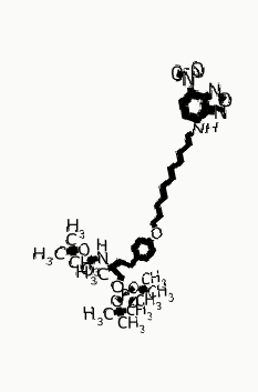 CC(C)(C)OC(=O)N[C@](C)(CCc1ccc(OCCCCCCCCCCCNc2ccc([N+](=O)[O-])c3nonc23)cc1)COP(=O)(OC(C)(C)C)OC(C)(C)C